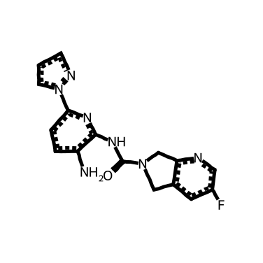 Nc1ccc(-n2cccn2)nc1NC(=O)N1Cc2cc(F)cnc2C1